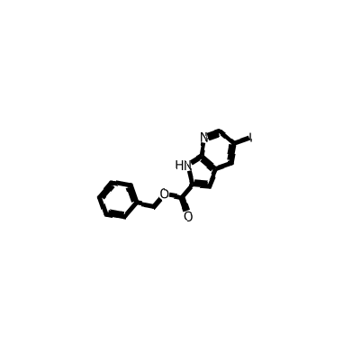 O=C(OCc1ccccc1)c1cc2cc(I)cnc2[nH]1